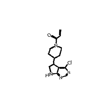 C=CC(=O)N1CCC(C2CNc3ncnc(Cl)c32)CC1